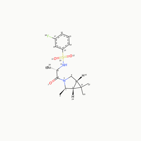 C[C@@H]1[C@@H]2[C@H](CN1C(=O)[C@@H](NS(=O)(=O)c1cccc(F)c1)C(C)(C)C)C2(C)C